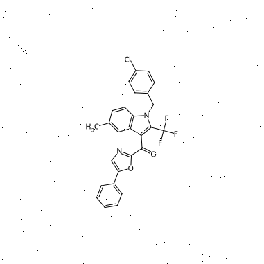 Cc1ccc2c(c1)c(C(=O)c1ncc(-c3ccccc3)o1)c(C(F)(F)F)n2Cc1ccc(Cl)cc1